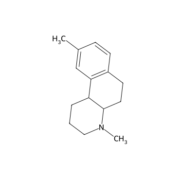 Cc1ccc2c(c1)C1CCCN(C)C1CC2